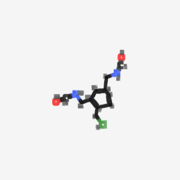 O=C=NCc1ccc(CCl)c(CN=C=O)c1